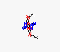 CC(=O)C1CCC(C(=O)OCC2CCC(C(=O)Oc3cc(CNN4CCN(C)CC4)c(OC(=O)C4CCC(C(C)OC(=O)C5CCC(C(C)=O)CC5)CC4)cc3CNN3CCN(C)CC3)CC2)CC1